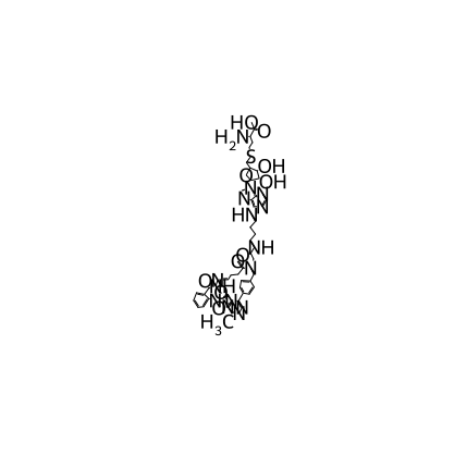 Cc1nnc(-c2ccc(CN(CC(=O)NCCCCNc3ncnc4c3ncn4C3OC(CSCC[C@H](N)C(=O)O)C(O)C3O)C(=O)CC/C=N/NC(=O)c3ccccc3[N+](=O)[O-])cc2)nn1